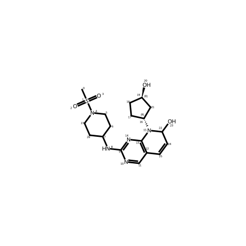 CS(=O)(=O)N1CCC(Nc2ncc3c(n2)N([C@@H]2CC[C@@H](O)C2)C(O)C=C3)CC1